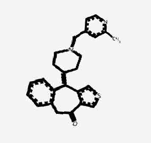 Cc1cc(CN2CCC(=C3c4ccccc4CC(=O)c4cscc43)CC2)ccn1